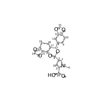 Cn1cc(C(=O)OC(c2ccc3c(c2)OCO3)c2ccc3c(c2)OCO3)cc1C(=O)O